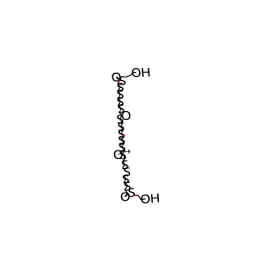 O=C(CSCSCSCSCC[S+]([O-])CSCSCSCSCSC(=O)CSCSCSCSCC(=O)SCCCO)SCCCO